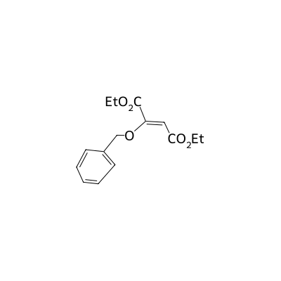 CCOC(=O)/C=C(\OCc1ccccc1)C(=O)OCC